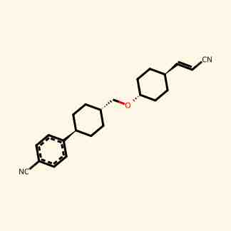 N#CC=C[C@H]1CC[C@H](OC[C@H]2CC[C@H](c3ccc(C#N)cc3)CC2)CC1